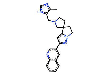 Cc1nc[nH]c1CN1CCC2(CCn3nc(-c4cnc5ccccc5c4)cc32)C1